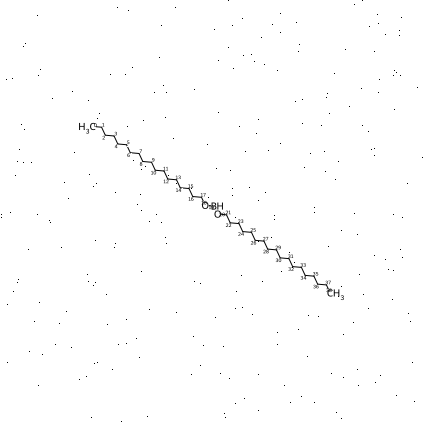 CCCCCCCCCCCCCCCCCCOBOCCCCCCCCCCCCCCCCCC